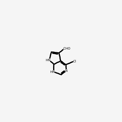 O=CC1=CNC2NC=NC(Cl)=C12